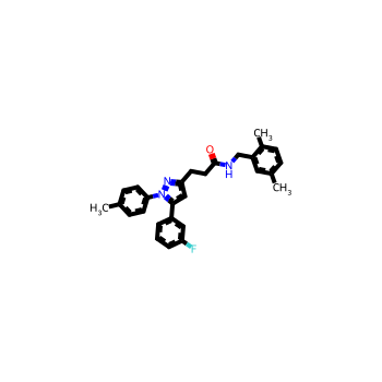 Cc1ccc(-n2nc(CCC(=O)NCc3cc(C)ccc3C)cc2-c2cccc(F)c2)cc1